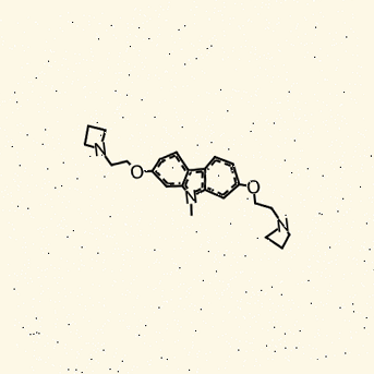 Cn1c2cc(OCCN3CCC3)ccc2c2ccc(OCCN3CCC3)cc21